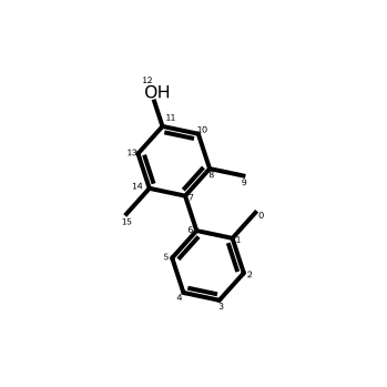 Cc1ccccc1-c1c(C)cc(O)cc1C